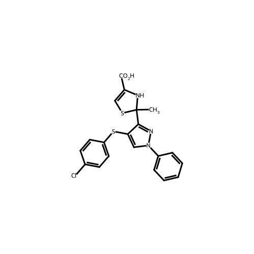 CC1(c2nn(-c3ccccc3)cc2Sc2ccc(Cl)cc2)NC(C(=O)O)=CS1